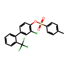 Cc1ccc(S(=O)(=O)Oc2ccc(-c3ccccc3C(F)(F)F)cc2F)cc1